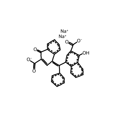 O=C([O-])C1=C/C(=C(\c2ccccc2)c2cc(C(=O)[O-])c(O)c3ccccc23)c2ccccc2C1=O.[Na+].[Na+]